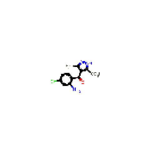 Nc1cc(Cl)ccc1C(=O)c1c(C(F)(F)F)n[nH]c1C(=O)O